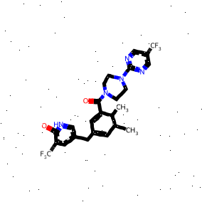 CC1C=C(Cc2c[nH]c(=O)c(C(F)(F)F)c2)C=C(C(=O)N2CCN(c3ncc(C(F)(F)F)cn3)CC2)C1C